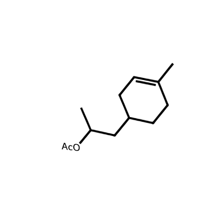 CC(=O)OC(C)CC1CC=C(C)CC1